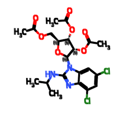 CC(=O)OC[C@@H]1O[C@H](n2c(NC(C)C)nc3c(Cl)cc(Cl)cc32)[C@@H](OC(C)=O)[C@H]1OC(C)=O